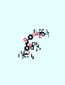 CC(C)(C)Oc1ccc(/C=C/C(=O)c2ccc(OCOC(=O)C(C)(C)C)cc2)c(OC(C)(C)C)c1